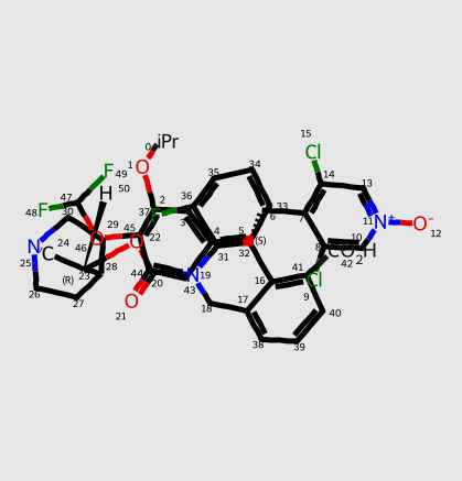 CC(C)Oc1cc([C@H](Cc2c(Cl)c[n+]([O-])cc2Cl)c2c(CN(C(=O)O[C@H]3CN4CCC3CC4)c3ccccc3F)cccc2C(=O)O)ccc1OC(F)F